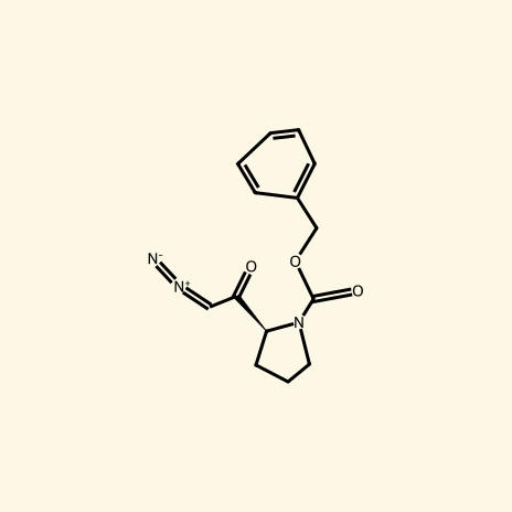 [N-]=[N+]=CC(=O)[C@@H]1CCCN1C(=O)OCc1ccccc1